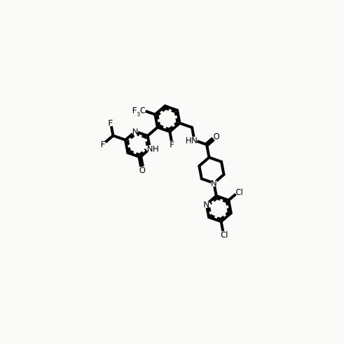 O=C(NCc1ccc(C(F)(F)F)c(-c2nc(C(F)F)cc(=O)[nH]2)c1F)C1CCN(c2ncc(Cl)cc2Cl)CC1